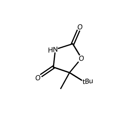 CC(C)(C)C1(C)OC(=O)NC1=O